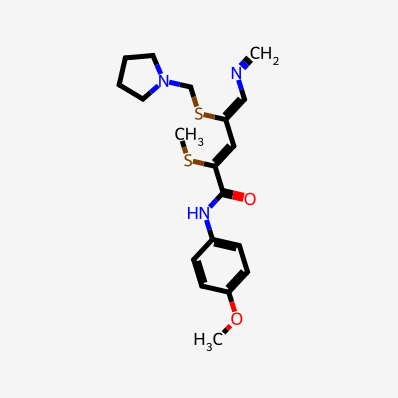 C=N/C=C(/C=C(\SC)C(=O)Nc1ccc(OC)cc1)SCN1CCCC1